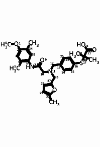 COc1cc(C)c(NC(=O)CN(Cc2ccc(SC(C)(C)C(=O)O)cc2)Cc2ccc(C)o2)cc1C